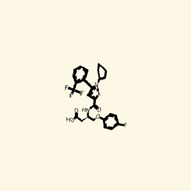 O=C(O)C[C@H](COc1ccc(F)cc1)NC(=O)c1cc(-c2ccccc2C(F)(F)F)n(C2CCCC2)n1